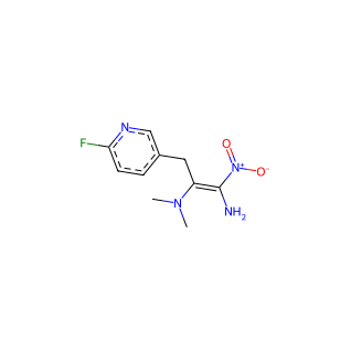 CN(C)C(Cc1ccc(F)nc1)=C(N)[N+](=O)[O-]